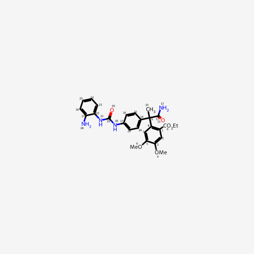 CCOC(=O)c1cc(OC)c(OC)cc1C(C)(C(N)=O)c1ccc(NC(=O)Nc2ccccc2N)cc1